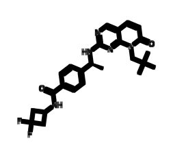 C[C@H](Nc1ncc2ccc(=O)n(CC(C)(C)C)c2n1)c1ccc(C(=O)NC2CC(F)(F)C2)cc1